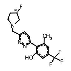 Cc1cc(C(F)(F)F)cc(O)c1-c1ccc(CN2CC[C@@H](F)C2)nn1